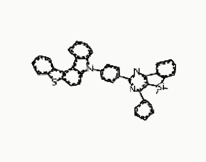 C[Si]1(C)c2ccccc2-c2nc(-c3ccc(-n4c5ccccc5c5c6c(ccc54)sc4ccccc46)cc3)nc(-c3ccccc3)c21